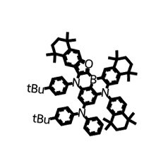 CC(C)(C)c1ccc(N(c2ccccc2)c2cc3c4c(c2)N(c2ccc(C(C)(C)C)cc2)c2c(oc5cc6c(cc25)C(C)(C)CCC6(C)C)B4c2cc4c(cc2N3c2ccc3c(c2)C(C)(C)CCC3(C)C)C(C)(C)CCC4(C)C)cc1